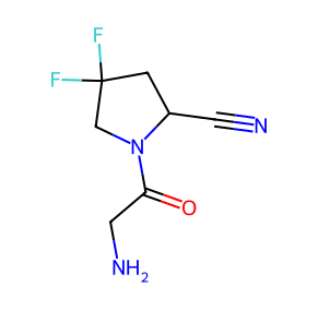 N#CC1CC(F)(F)CN1C(=O)CN